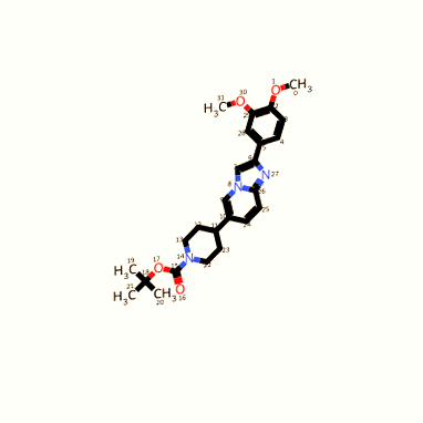 COc1ccc(-c2cn3cc(C4CCN(C(=O)OC(C)(C)C)CC4)ccc3n2)cc1OC